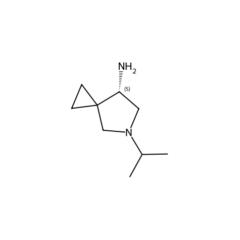 CC(C)N1C[C@@H](N)C2(CC2)C1